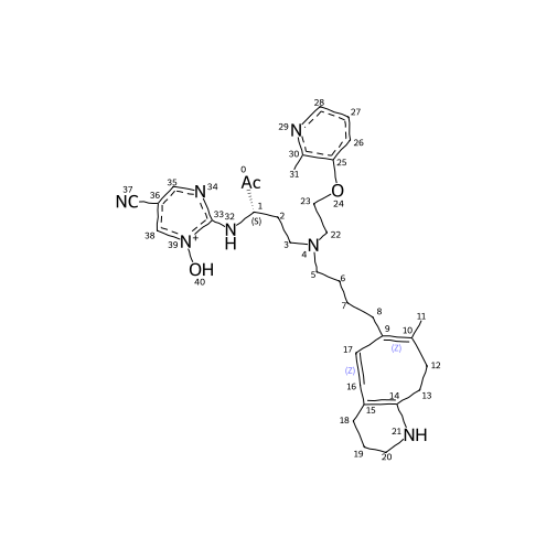 CC(=O)[C@H](CCN(CCCCC1=C(\C)CCC2=C(/C=C\1)CCCN2)CCOc1cccnc1C)Nc1ncc(C#N)c[n+]1O